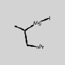 CCCC[CH](C)[Mg][I]